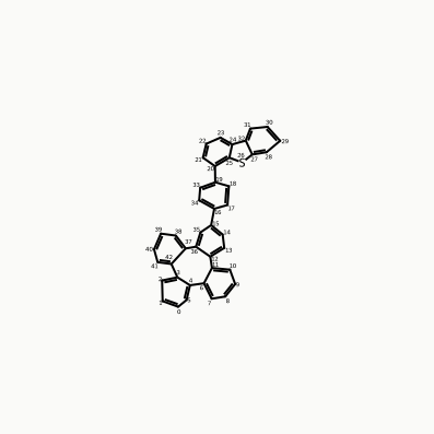 c1ccc2c(c1)-c1ccccc1-c1ccc(-c3ccc(-c4cccc5c4sc4ccccc45)cc3)cc1-c1ccccc1-2